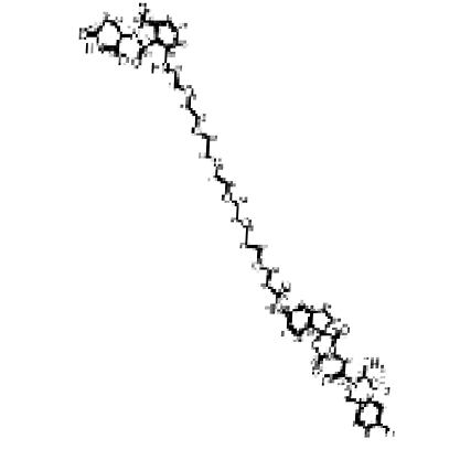 C[C@H](N(Cc1ccc(F)cc1)C(=O)CN1C(=O)O[C@@]2(CCc3cc(NC(=O)CCOCCOCCOCCOCCOCCOCCNc4cccc5c4C(=O)N(C4CCC(=O)NC4=O)C5=O)ccc32)C1=O)C(F)(F)F